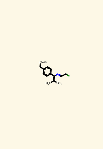 CCCCCCCCCCc1ccc(C(/N=C/CF)=C(C)C)cc1